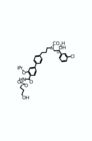 CC(C)Oc1cc(-c2ccc(CCCN(C[C@H](O)c3cccc(Cl)c3)C(=O)O)cc2)ccc1C(=O)NS(=O)(=O)CCCO